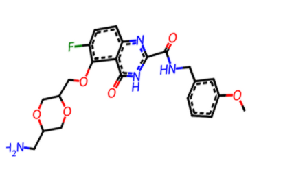 COc1cccc(CNC(=O)c2nc3ccc(F)c(OCC4COC(CN)CO4)c3c(=O)[nH]2)c1